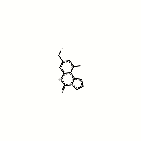 O=c1[nH]c2cc(CCl)cc(F)c2c2cccn12